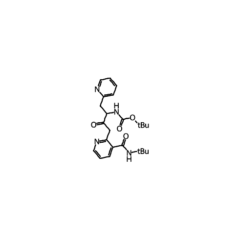 CC(C)(C)NC(=O)c1cccnc1CC(=O)C(Cc1ccccn1)NC(=O)OC(C)(C)C